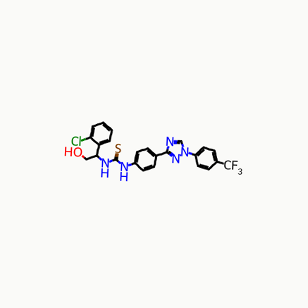 OCC(NC(=S)Nc1ccc(-c2ncn(-c3ccc(C(F)(F)F)cc3)n2)cc1)c1ccccc1Cl